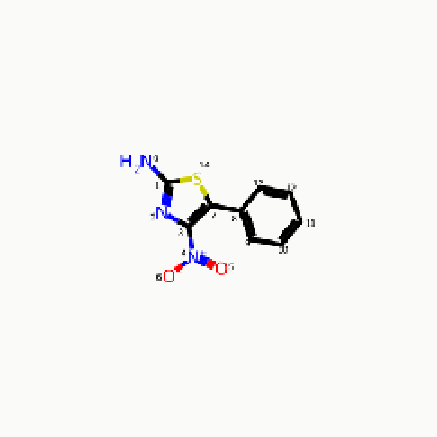 Nc1nc([N+](=O)[O-])c(-c2ccccc2)s1